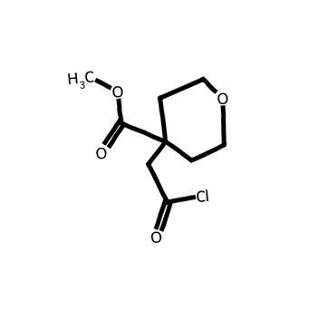 COC(=O)C1(CC(=O)Cl)CCOCC1